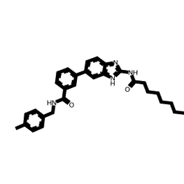 CCCCCCCC(=O)Nc1nc2ccc(-c3cccc(C(=O)NCc4ccc(C)cc4)c3)cc2[nH]1